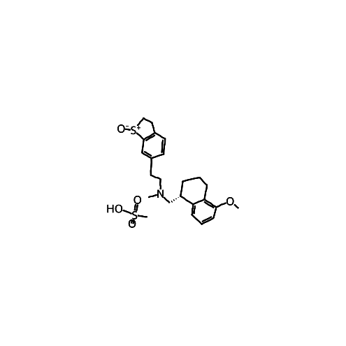 COc1cccc2c1CCC[C@H]2CN(C)CCc1ccc2c(c1)[S+]([O-])CC2.CS(=O)(=O)O